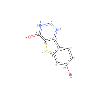 O=c1[nH]cnc2c1sc1cc(Br)ccc12